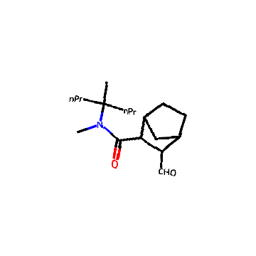 CCCC(C)(CCC)N(C)C(=O)C1C2CCC(C2)C1C=O